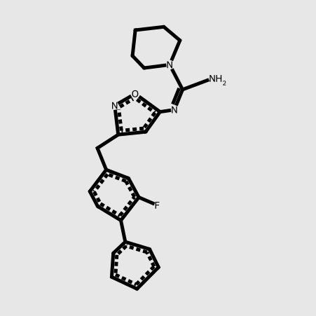 N/C(=N/c1cc(Cc2ccc(-c3ccccc3)c(F)c2)no1)N1CCCCC1